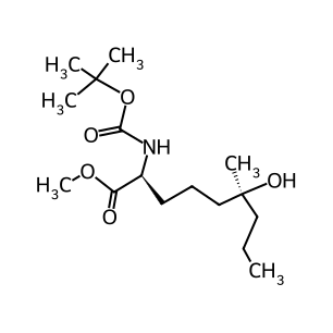 CCC[C@](C)(O)CCC[C@H](NC(=O)OC(C)(C)C)C(=O)OC